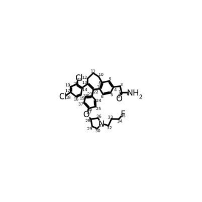 NC(=O)Cc1ccc2c(c1)CCCC(c1ccc(Cl)cc1Cl)=C2c1ccc(OC2CCN(CCCF)C2)cc1